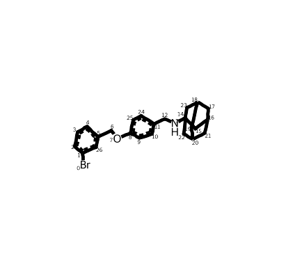 Brc1cccc(COc2ccc(CNC34CC5CC(CC(C5)C3)C4)cc2)c1